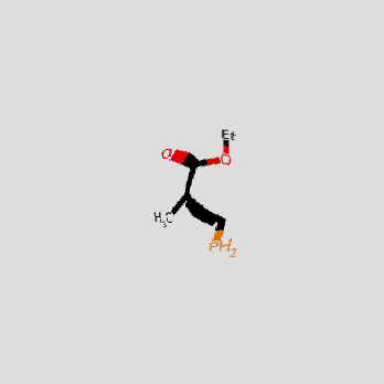 CCOC(=O)C(C)=CP